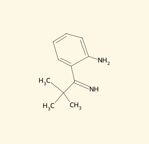 CC(C)(C)C(=N)c1ccccc1N